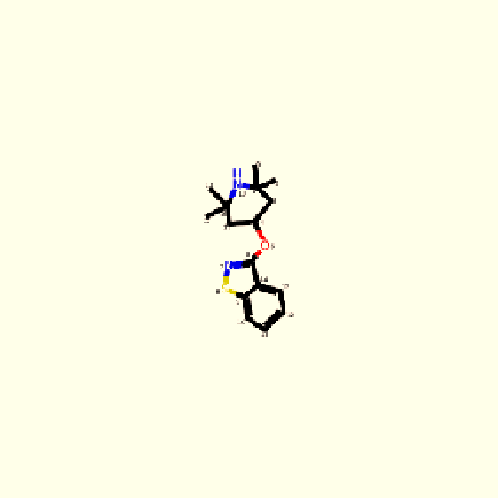 CC1(C)CC(Oc2nsc3ccccc23)CC(C)(C)N1